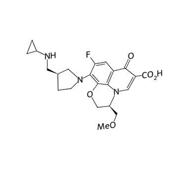 COC[C@H]1COc2c(N3CC[C@@H](CNC4CC4)C3)c(F)cc3c(=O)c(C(=O)O)cn1c23